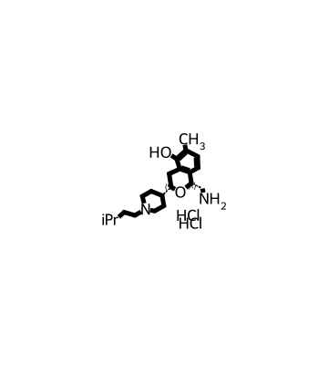 Cc1ccc2c(c1O)C[C@@H](C1CCN(CCC(C)C)CC1)O[C@H]2CN.Cl.Cl